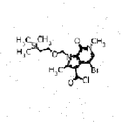 Cc1c(C(=O)Cl)c2c(Br)cn(C)c(=O)c2n1COCC[Si](C)(C)C